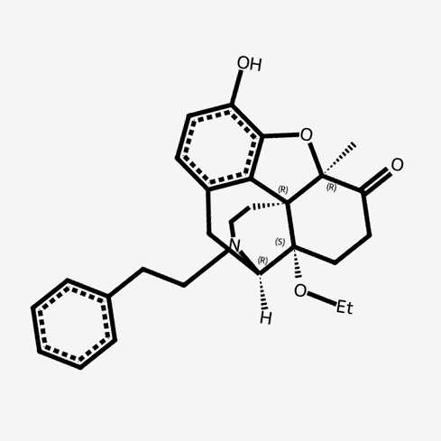 CCO[C@@]12CCC(=O)[C@]3(C)Oc4c(O)ccc5c4[C@@]31CCN(CCc1ccccc1)[C@@H]2C5